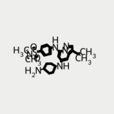 CC(C)c1cnn2c(Nc3ccc(S(=O)(=O)N(C)C)cc3)cc(N[C@H]3CC[C@H](N)CC3)cc12